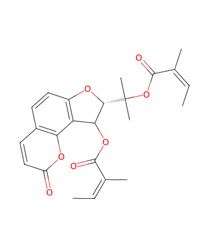 C/C=C(/C)C(=O)OC1c2c(ccc3ccc(=O)oc23)O[C@@H]1C(C)(C)OC(=O)/C(C)=C\C